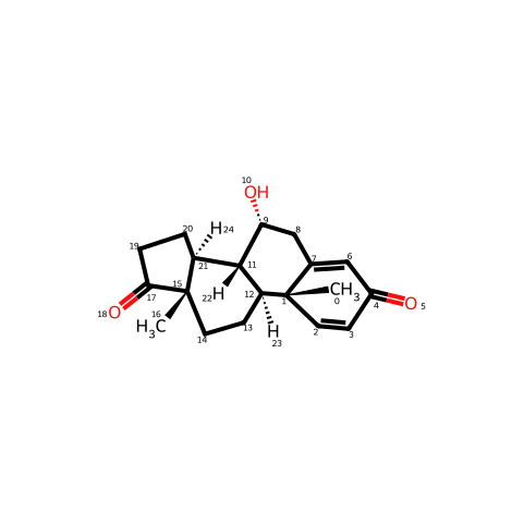 C[C@]12C=CC(=O)C=C1C[C@@H](O)[C@@H]1[C@@H]2CC[C@]2(C)C(=O)CC[C@@H]12